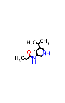 CCC(=O)NC1[CH]C(C(C)C)CNC1